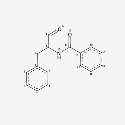 O=[C]C(Cc1ccccc1)NC(=O)c1ccccc1